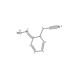 N#CCC1C=CC=CC1=NO